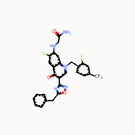 NC(=O)CNc1cc2c(cc1F)c(=O)c(-c1noc(Cc3ccccc3)n1)cn2Cc1ccc(C(F)(F)F)cc1F